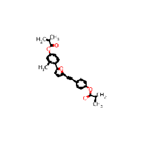 C=C(C)C(=O)Oc1ccc(C#Cc2ccc(-c3ccc(OC(=O)C(=C)C)cc3C)o2)cc1